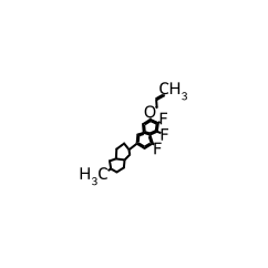 C/C=C/COc1cc2cc(C3CCC4CC(C)CCC4C3)cc(F)c2c(F)c1F